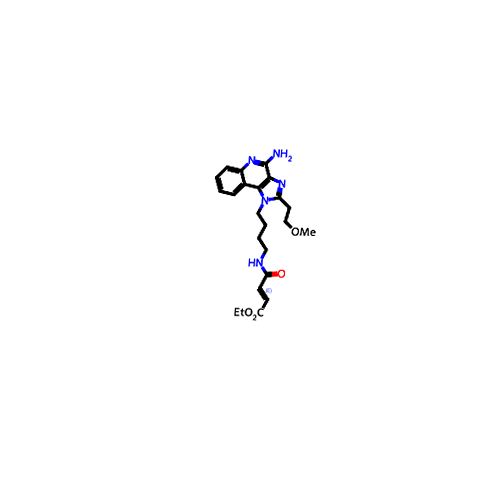 CCOC(=O)/C=C/C(=O)NCCCCn1c(CCOC)nc2c(N)nc3ccccc3c21